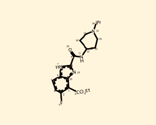 CCOC(=O)c1c(F)ccc2[nH]c(C(=O)NC3CCN(C(C)C)CC3)nc12